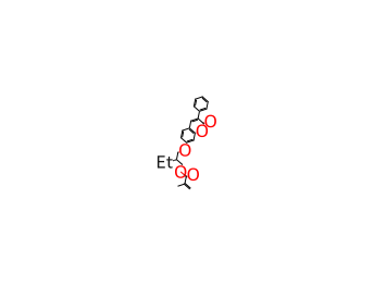 C=C(C)C(=O)OCC(CC)COc1ccc2cc(-c3ccccc3)c(=O)oc2c1